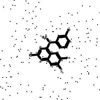 CN(c1cccc(Br)c1)c1nc(Cl)nc2cc(F)c(F)cc12